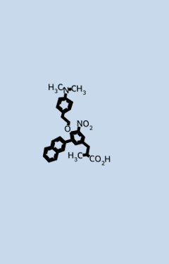 CC(Cc1cc(-c2ccc3ccccc3c2)c(OCCc2ccc(N(C)C)cc2)c([N+](=O)[O-])c1)C(=O)O